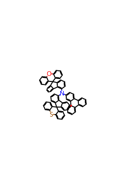 c1ccc2c(c1)Oc1ccccc1C21c2ccccc2-c2c(N(c3ccc4c5ccccc5c5ccccc5c4c3)c3cccc4c3-c3ccccc3C43c4ccccc4Sc4ccccc43)cccc21